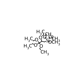 CCOC(C[Si](OC)(OC)OC)C(OCC)(OCC)OCC